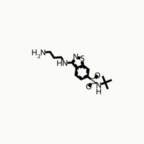 CC(C)(C)NS(=O)(=O)c1ccc2c(NCCCN)nsc2c1